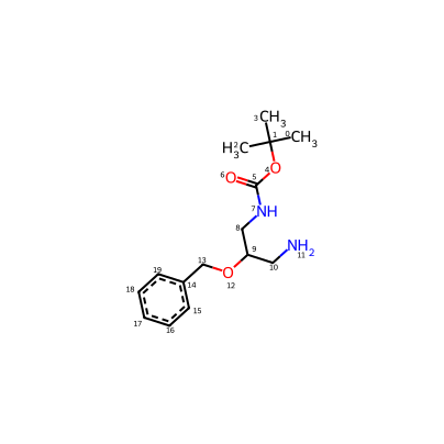 CC(C)(C)OC(=O)NCC(CN)OCc1ccccc1